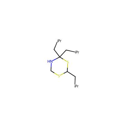 CC(C)CC1SCNC(CC(C)C)(CC(C)C)S1